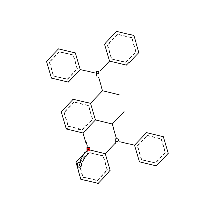 CC(c1cccc(P=O)c1C(C)P(c1ccccc1)c1ccccc1)P(c1ccccc1)c1ccccc1